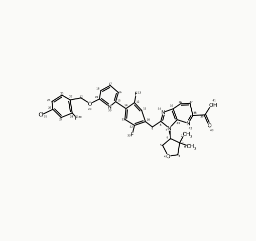 CC1(C)COC[C@H]1n1c(Cc2cc(F)c(-c3cccc(OCc4ccc(Cl)cc4F)n3)cc2F)nc2ccc(C(=O)O)nc21